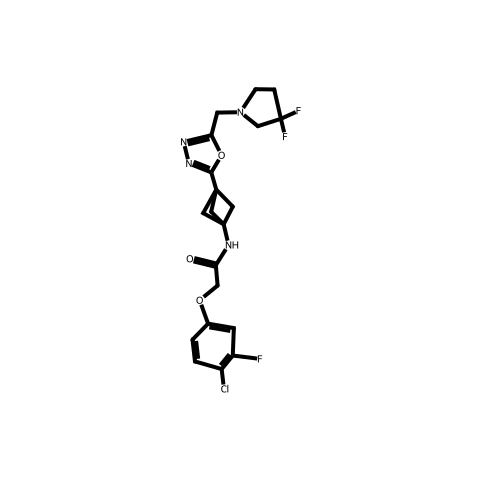 O=C(COc1ccc(Cl)c(F)c1)NC12CC(c3nnc(CN4CCC(F)(F)C4)o3)(C1)C2